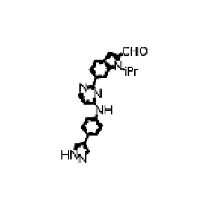 CC(C)n1c(C=O)cc2ccc(-c3nccc(Nc4ccc(-c5cn[nH]c5)cc4)n3)cc21